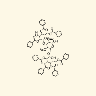 CC(=O)OC1C(O)OC(COC(O)C(OC(=O)c2ccccc2)C(OC(=O)c2ccccc2)C(CCOC(=O)c2ccccc2)OC(=O)c2ccccc2)C(OC(C)=O)C1OC(O)C(OC(=O)c1ccccc1)C(O)C(CCOC(=O)c1ccccc1)OC(=O)c1ccccc1